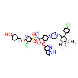 CC1(C)CCC(CN2CCN(c3ccc(C(=O)NS(=O)(=O)c4cnc(OC[C@]5(F)CC[C@H](O)CC5)c(Cl)c4)c(Oc4cnc5[nH]ccc5c4)c3)CC2)=C(c2ccc(Cl)cc2)C1